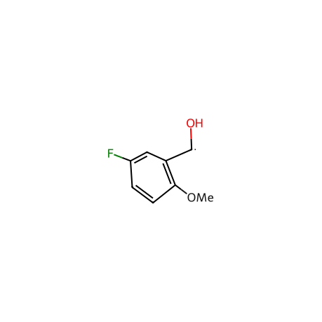 COc1ccc(F)cc1[CH]O